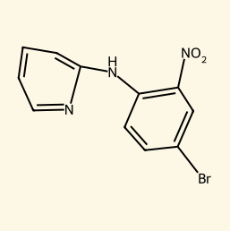 O=[N+]([O-])c1cc(Br)ccc1Nc1ccccn1